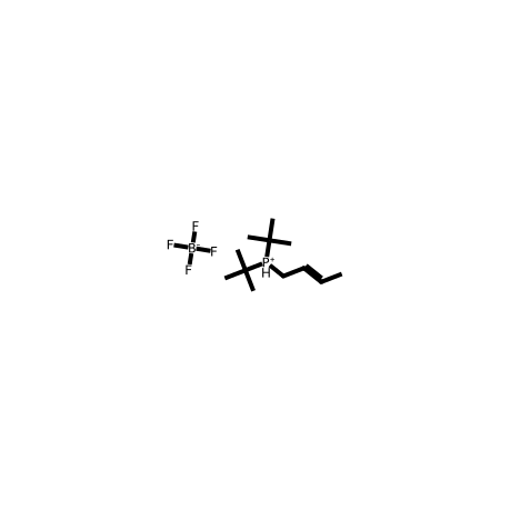 CC=CC[PH+](C(C)(C)C)C(C)(C)C.F[B-](F)(F)F